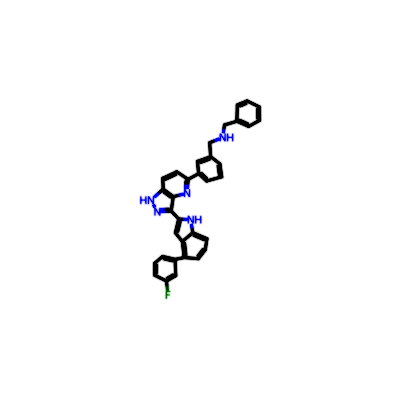 Fc1cccc(-c2cccc3[nH]c(-c4n[nH]c5ccc(-c6cccc(CNCc7ccccc7)c6)nc45)cc23)c1